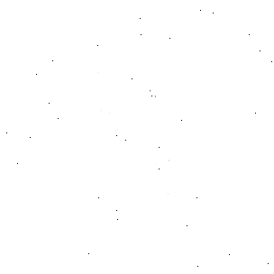 CCc1scc(CCOC=O)c1N